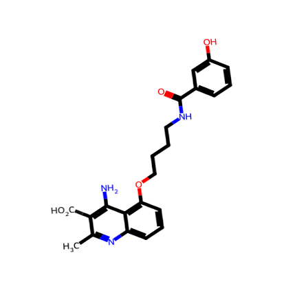 Cc1nc2cccc(OCCCCNC(=O)c3cccc(O)c3)c2c(N)c1C(=O)O